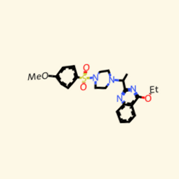 CCOc1nc(C(C)N2CCN(S(=O)(=O)c3ccc(OC)cc3)CC2)nc2ccccc12